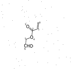 C=CC(=O)OC[C]=O